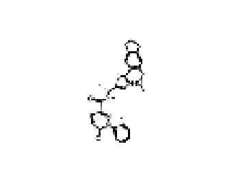 CNCc1cc2c(cc1-c1ccc([C@@H](C)NC(=O)c3ccc(=O)n(-c4ccccc4F)n3)s1)CCC2